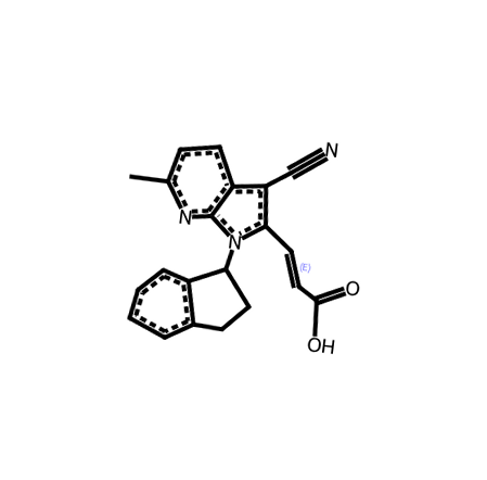 Cc1ccc2c(C#N)c(/C=C/C(=O)O)n(C3CCc4ccccc43)c2n1